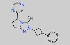 [2H]C1N(C2CC(c3ccccc3)C2)N=C2CCC(c3cnccn3)N21